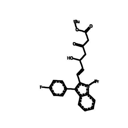 CC(C)n1c(C=CC(O)CC(=O)CC(=O)OC(C)(C)C)c(-c2ccc(F)cc2)c2ccccc21